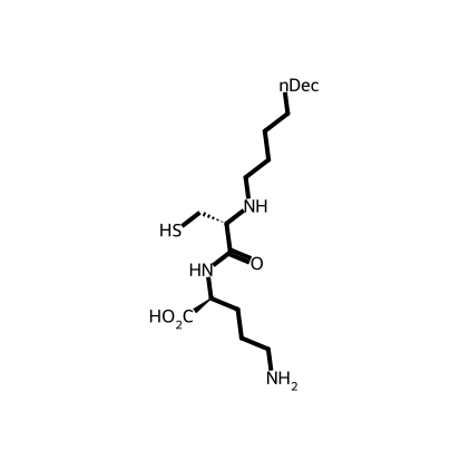 CCCCCCCCCCCCCCN[C@@H](CS)C(=O)N[C@@H](CCCN)C(=O)O